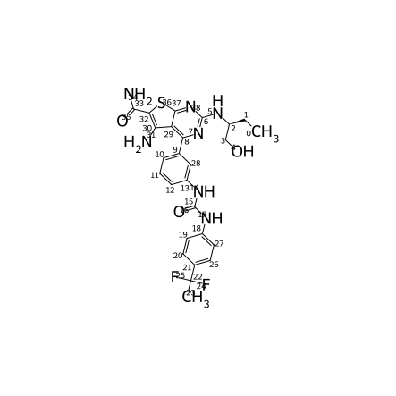 CC[C@@H](CO)Nc1nc(-c2cccc(NC(=O)Nc3ccc(C(C)(F)F)cc3)c2)c2c(N)c(C(N)=O)sc2n1